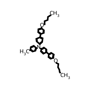 CCCCCCOc1ccc(-c2ccc(N(c3ccc(C)cc3)c3ccc(-c4ccc(OCCCCCC)cc4)cc3)cc2)cc1